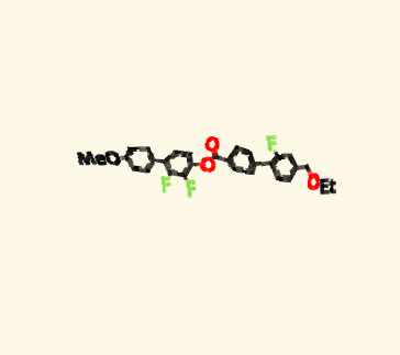 CCOCc1ccc(-c2ccc(C(=O)Oc3ccc(-c4ccc(OC)cc4)c(F)c3F)cc2)c(F)c1